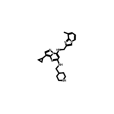 Cc1cccn2cc(CNc3cc(NCC4CCNCC4)nc4c(C5CC5)cnn34)nc12